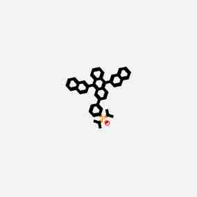 CC(C)P(=O)(c1cccc(-c2ccc3c(-c4ccc5ccccc5c4)c4ccccc4c(-c4ccc5ccccc5c4)c3c2)c1)C(C)C